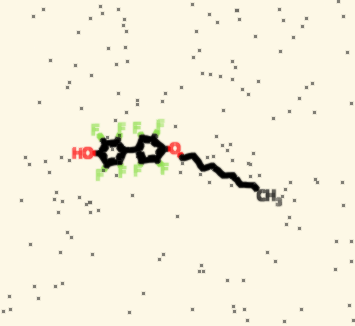 CCCCCCCCCOc1c(F)c(F)c(-c2c(F)c(F)c(O)c(F)c2F)c(F)c1F